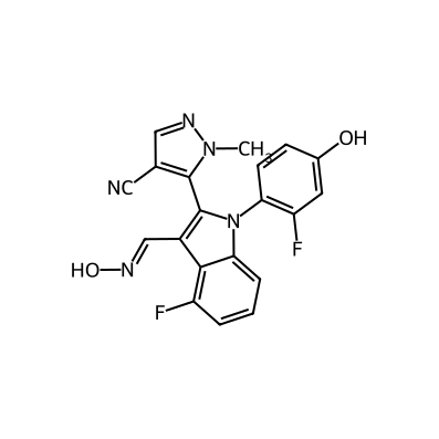 Cn1ncc(C#N)c1-c1c(C=NO)c2c(F)cccc2n1-c1ccc(O)cc1F